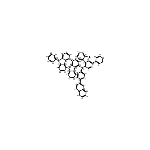 c1ccc(-c2ccc(N(c3ccc(-c4ccc5ccccc5c4)cc3)c3ccc(-c4cccc5c4c4ccccc4n5-c4ccccc4)c4oc5ccccc5c34)c3c2oc2ccccc23)cc1